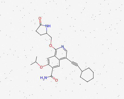 CC(C)Oc1cc2c(OCC3CCC(=O)N3)ncc(C#CC3CCCCC3)c2cc1C(N)=O